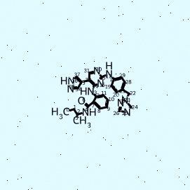 CCC(C)NC(=O)c1ccccc1Nc1nc(Nc2ccc(Cn3cncn3)cc2)ncc1-c1cn[nH]c1